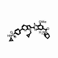 COc1cc(C(=O)N2CC3CCC2C3N)cc2nc(-c3cc4ccc(-c5ccc(S(=O)(=O)NC6CC6)cc5)nc4n3CC3CC3)n(C)c12